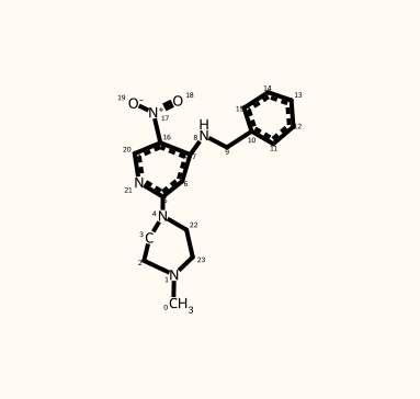 CN1CCN(c2cc(NCc3ccccc3)c([N+](=O)[O-])cn2)CC1